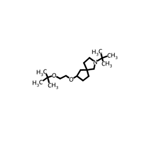 CC(C)(C)OCCOC1CCC2(CCN(C(C)(C)C)C2)C1